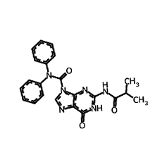 CC(C)C(=O)Nc1nc2c(ncn2C(=O)N(c2ccccc2)c2ccccc2)c(=O)[nH]1